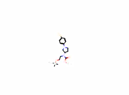 CC(C)(C)OC(=O)N(CCO[Si](C)(C)C(C)(C)C)[C@@H]1CCN(c2ccc(Br)cc2)C1